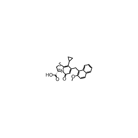 COc1ccc2ccccc2c1Cc1cc(=O)n2c(c1C1CC1)SC[C@H]2C(=O)O